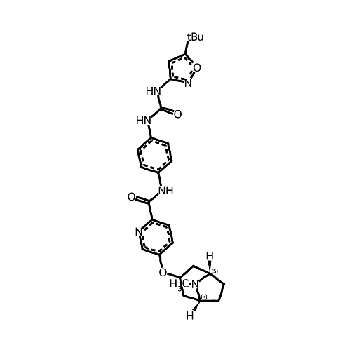 CN1[C@@H]2CC[C@H]1CC(Oc1ccc(C(=O)Nc3ccc(NC(=O)Nc4cc(C(C)(C)C)on4)cc3)nc1)C2